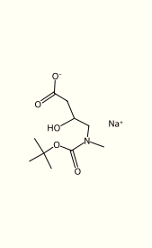 CN(CC(O)CC(=O)[O-])C(=O)OC(C)(C)C.[Na+]